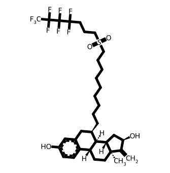 C=C1[C@H](O)C[C@H]2[C@@H]3[C@H](CCCCCCCCCS(=O)(=O)CCCC(F)(F)C(F)(F)C(F)(F)C(F)(F)F)Cc4cc(O)ccc4[C@H]3CC[C@]12C